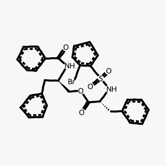 O=C(N[C@@H](COC(=O)[C@@H](Cc1ccccc1)NS(=O)(=O)c1ccccc1Br)Cc1ccccc1)c1ccccc1